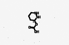 O=C(O)O[C@H]1CCCNN1